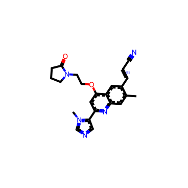 Cc1cc2nc(-c3cncn3C)cc(OCCN3CCCC3=O)c2cc1/C=C/C#N